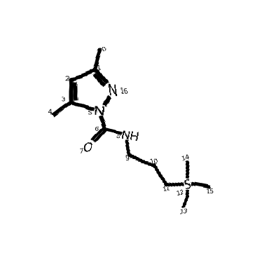 Cc1cc(C)n(C(=O)NCCCS(C)(C)C)n1